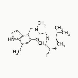 COc1cc(C)c2[nH]ccc2c1CN(C)CCN(CC(F)F)[C@H](C)C(C)C